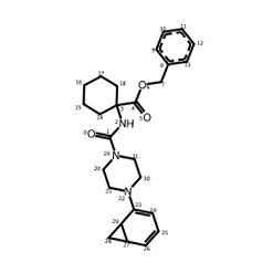 O=C(NC1(C(=O)OCc2ccccc2)CCCCC1)N1CCN(C2=CC=CC3CC23)CC1